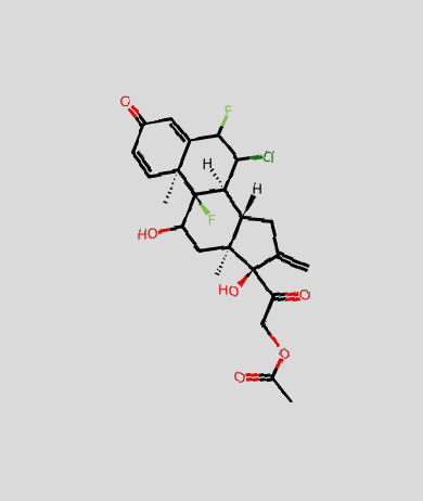 C=C1C[C@H]2[C@@H]3C(Cl)C(F)C4=CC(=O)C=C[C@]4(C)[C@@]3(F)C(O)C[C@]2(C)[C@@]1(O)C(=O)COC(C)=O